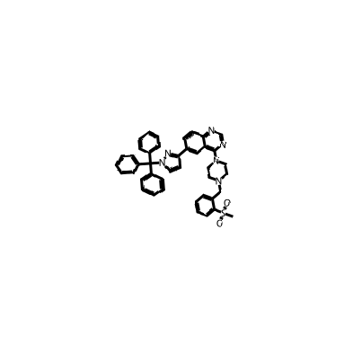 CS(=O)(=O)c1ccccc1CN1CCN(c2ncnc3ccc(-c4ccn(C(c5ccccc5)(c5ccccc5)c5ccccc5)n4)cc23)CC1